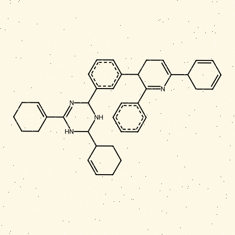 C1=CCC(C2=CCC(c3cccc(C4N=C(C5=CCCCC5)NC(C5C=CCCC5)N4)c3)C(c3ccccc3)=N2)C=C1